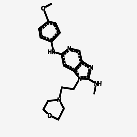 CNc1nc2cnc(Nc3ccc(OC)cc3)cc2n1CCN1CCOCC1